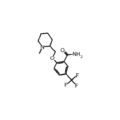 CN1CCCCC1COc1ccc(C(F)(F)F)cc1C(N)=O